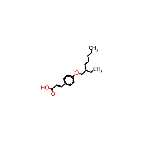 CCCCCC(CC)COc1ccc(C=CC(=O)O)cc1